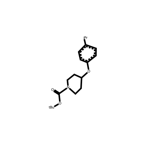 CC(C)c1ccc(OC2CCN(C(=O)OC(C)(C)C)CC2)cc1